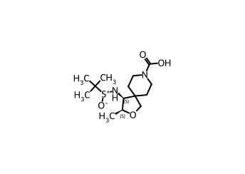 C[C@@H]1OCC2(CCN(C(=O)O)CC2)[C@@H]1N[S+]([O-])C(C)(C)C